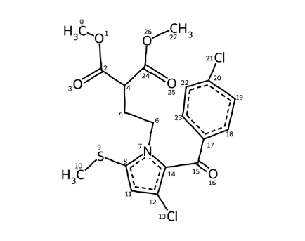 COC(=O)C(CCn1c(SC)cc(Cl)c1C(=O)c1ccc(Cl)cc1)C(=O)OC